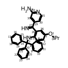 CC(C)Oc1ccc(NC(c2ccccc2)(c2ccccc2)c2ccccc2)c(C(=N)c2ccnc(N)c2)c1